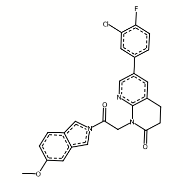 COc1ccc2cn(C(=O)CN3C(=O)CCc4cc(-c5ccc(F)c(Cl)c5)cnc43)cc2c1